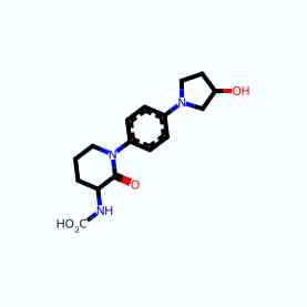 O=C(O)NC1CCCN(c2ccc(N3CCC(O)C3)cc2)C1=O